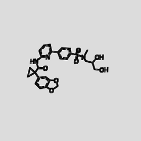 CN(CC(O)CO)S(=O)(=O)c1ccc(-c2cccc(NC(=O)C3(c4ccc5c(c4)OCO5)CC3)n2)cc1